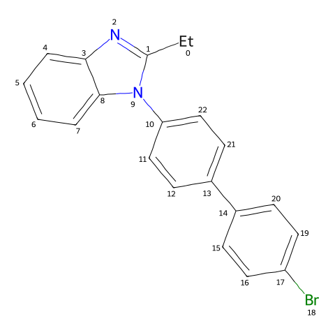 CCc1nc2ccccc2n1-c1ccc(-c2ccc(Br)cc2)cc1